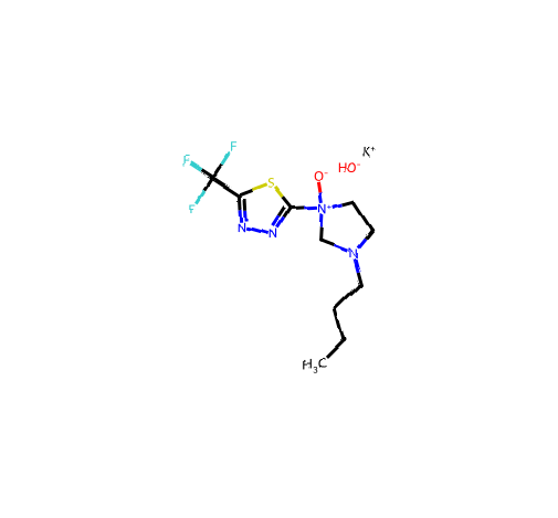 CCCCN1CC[N+]([O-])(c2nnc(C(F)(F)F)s2)C1.[K+].[OH-]